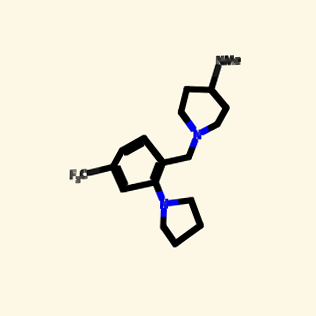 CNC1CCN(Cc2ccc(C(F)(F)F)cc2N2CCCC2)CC1